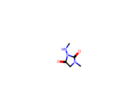 CNN1C(=O)CN(C)C1=O